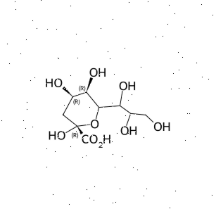 O=C(O)[C@@]1(O)C[C@@H](O)[C@@H](O)C(C(O)C(O)CO)O1